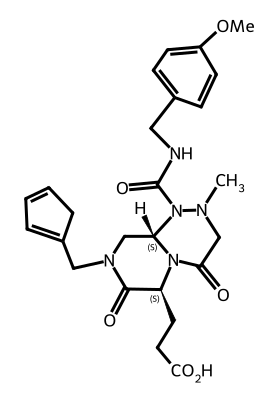 COc1ccc(CNC(=O)N2[C@H]3CN(CC4=CC=CC4)C(=O)[C@H](CCC(=O)O)N3C(=O)CN2C)cc1